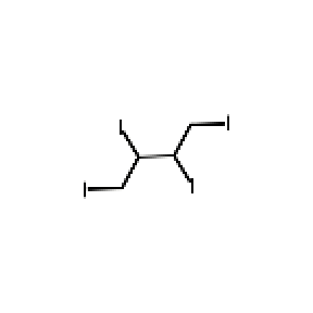 ICC(I)C(I)CI